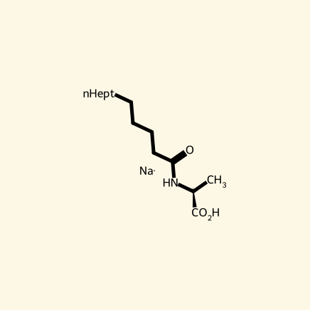 CCCCCCCCCCCC(=O)N[C@@H](C)C(=O)O.[Na]